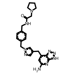 Nc1cc(Cc2cnn(Cc3ccc(CNC(=O)CN4CCCC4)cc3)c2)c2nn[nH]c2n1